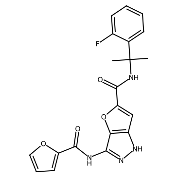 CC(C)(NC(=O)c1cc2[nH]nc(NC(=O)c3ccco3)c2o1)c1ccccc1F